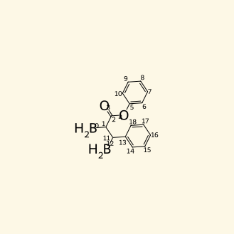 BC(C(=O)Oc1ccccc1)C(B)c1ccccc1